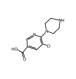 O=C(O)c1cnc(N2CCNCC2)c(Cl)c1